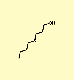 CCCCSCCCO